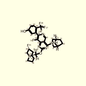 [2H]C([2H])(Oc1nc(N2C[C@H]3CC[C@@H](C2)N3)c2cnc(-c3cc(O)ccc3C(F)(F)F)c(F)c2n1)[C@@]12CCCN1C[C@H](F)C2